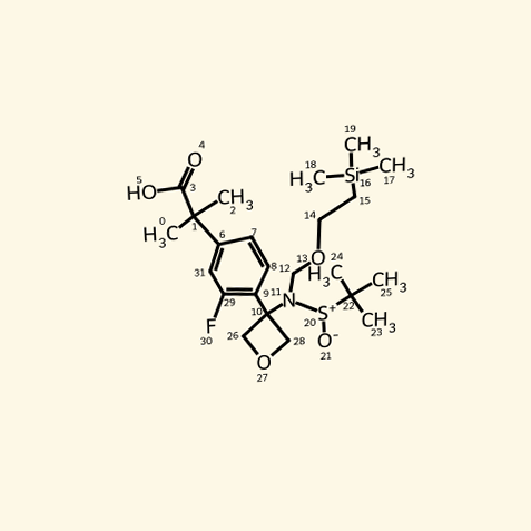 CC(C)(C(=O)O)c1ccc(C2(N(COCC[Si](C)(C)C)[S+]([O-])C(C)(C)C)COC2)c(F)c1